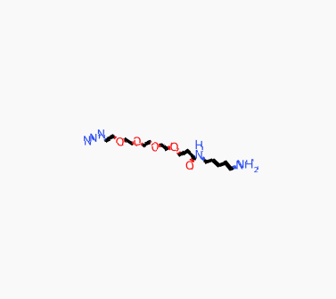 [N-]=[N+]=NCCOCCOCCOCCOCCC(=O)NCCCCCN